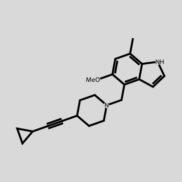 COc1cc(C)c2[nH]ccc2c1CN1CCC(C#CC2CC2)CC1